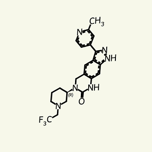 Cc1cc(-c2n[nH]c3cc4c(cc23)CN([C@@H]2CCCN(CC(F)(F)F)C2)C(=O)N4)ccn1